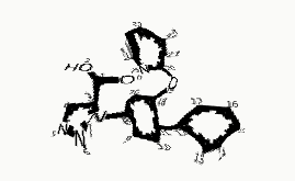 O=C(O)c1cnnn1-c1ccc(-c2ccccc2)c(Oc2ccccn2)c1